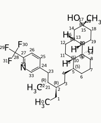 CC[C@H](CC[C@@H]1CCC[C@H]2[C@H]1CC[C@@H]1C[C@](C)(O)CC[C@@H]12)[C@H](C)Cc1ccc(C(F)(F)F)nc1